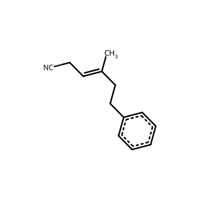 CC(=CCC#N)CCc1ccccc1